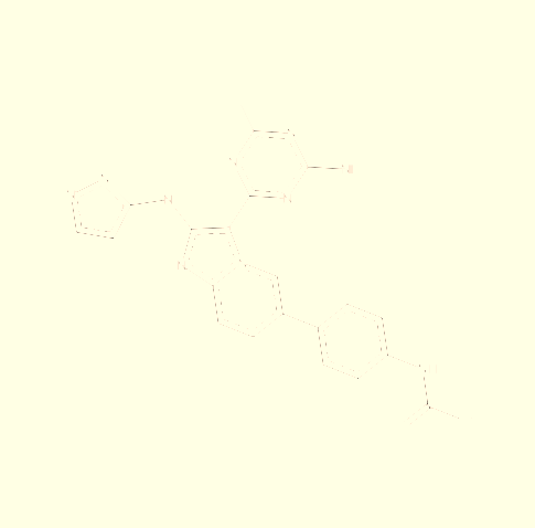 Cc1nc(N)nc(-c2c(Nc3cc[nH]n3)nc3ccc(-c4ccc(NC(=O)C(C)C)cc4)cn23)n1